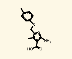 Cc1ccc(SCc2sc(N)c(C(=O)O)c2C)cc1